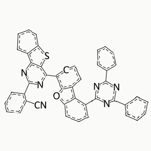 N#Cc1ccccc1-c1nc(-c2cccc3c2oc2cccc(-c4nc(-c5ccccc5)nc(-c5ccccc5)n4)c23)c2sc3ccccc3c2n1